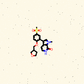 Cn1cc(-c2cc(S(C)(=O)=O)ccc2OCC2CCOC2)c2cc[nH]c(=O)c21